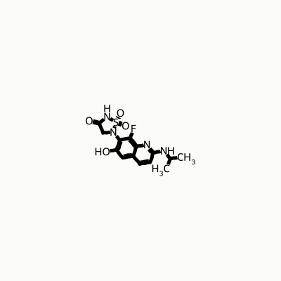 CC(C)Nc1ccc2cc(O)c(N3CC(=O)NS3(=O)=O)c(F)c2n1